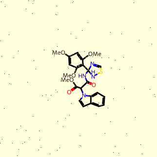 COC(=O)C(C(=O)NC1(c2c(OC)cc(OC)cc2OC)N=CSN1)n1ccc2ccccc21